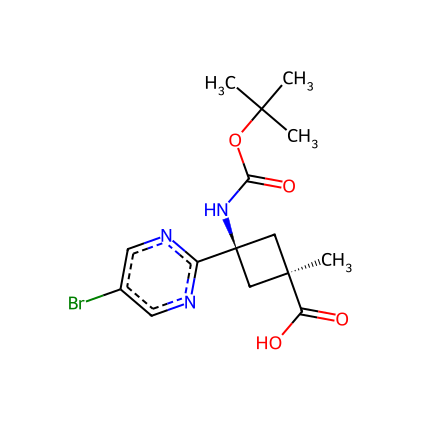 CC(C)(C)OC(=O)N[C@]1(c2ncc(Br)cn2)C[C@](C)(C(=O)O)C1